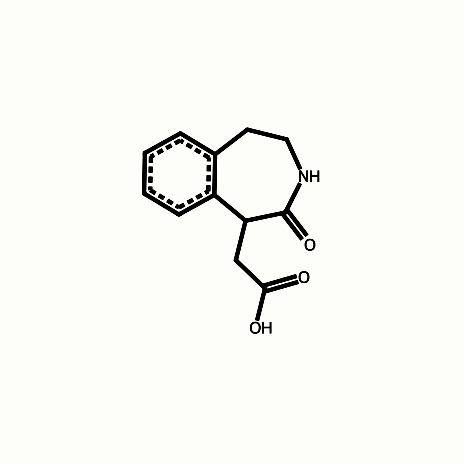 O=C(O)CC1C(=O)NCCc2ccccc21